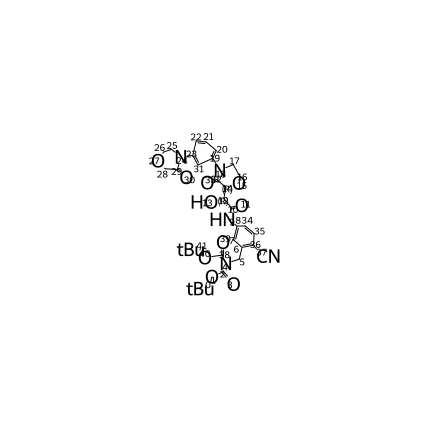 CC(C)(C)OC(=O)N(Cc1cc(NC(=O)[C@H](O)[C@H]2OCCN(c3cccc(N4CCOCC4=O)c3)C2=O)ccc1C#N)C(=O)OC(C)(C)C